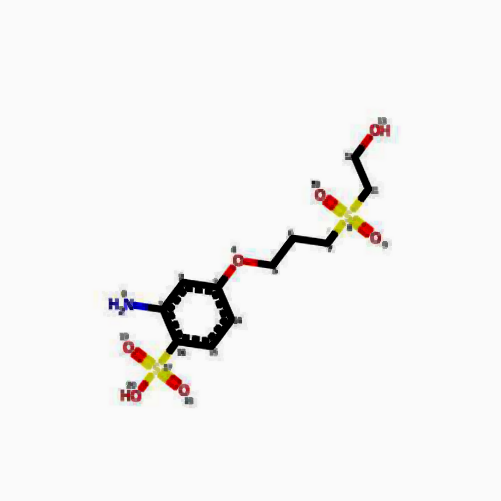 Nc1cc(OCCCS(=O)(=O)CCO)ccc1S(=O)(=O)O